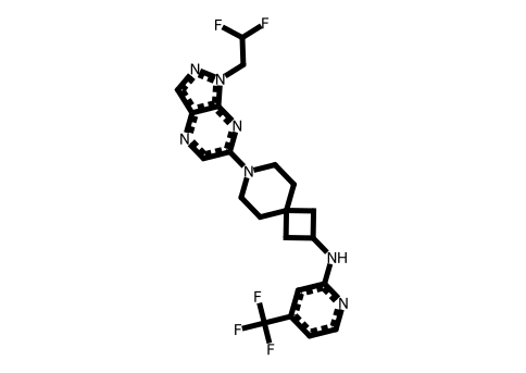 FC(F)Cn1ncc2ncc(N3CCC4(CC3)CC(Nc3cc(C(F)(F)F)ccn3)C4)nc21